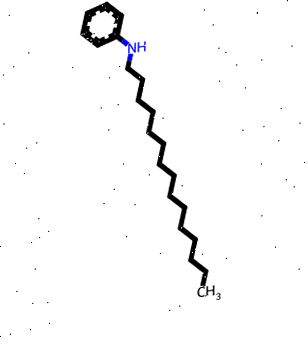 CCCCCCCCCCCCCCCNc1ccccc1